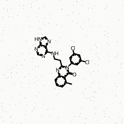 Cc1cccc2nc(CCNc3ncnc4[nH]cnc34)n(-c3cc(Cl)cc(Cl)c3)c(=O)c12